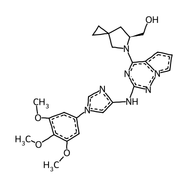 COc1cc(-n2cnc(Nc3nc(N4CC5(CC5)C[C@H]4CO)c4cccn4n3)c2)cc(OC)c1OC